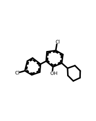 Oc1c(-c2ccc(Cl)cc2)cc(Cl)cc1C1CCCCC1